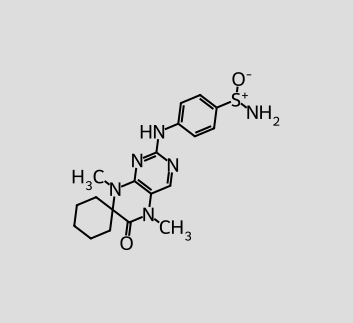 CN1C(=O)C2(CCCCC2)N(C)c2nc(Nc3ccc([S+](N)[O-])cc3)ncc21